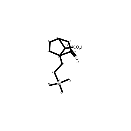 C[Si](C)(C)CCC12CCC(CC1=O)C2C(=O)O